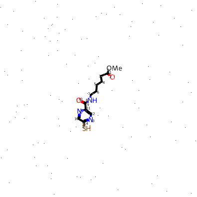 COC(=O)CCCCCNC(=O)c1cnc(S)cn1